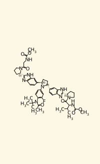 COC(=O)NCC(=O)N1CCC[C@H]1c1nc2ccc([C@H]3CC[C@H](c4ccc5nc([C@@H]6CCCN6C(=O)C(NC(=O)OC)C(C)C)[nH]c5c4)N3c3ccc(N(C(C)=O)C(C)(C)C)c(F)c3)cc2[nH]1